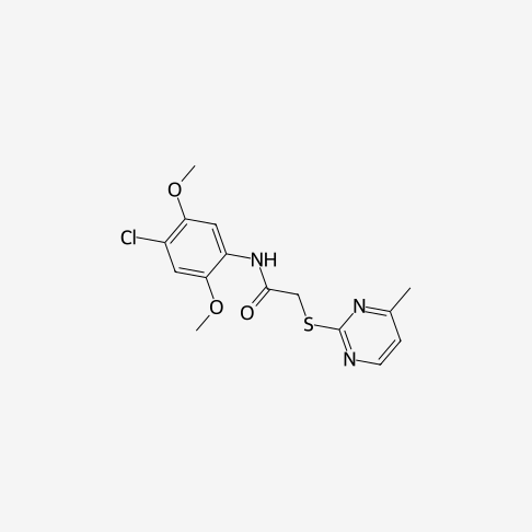 COc1cc(NC(=O)CSc2nccc(C)n2)c(OC)cc1Cl